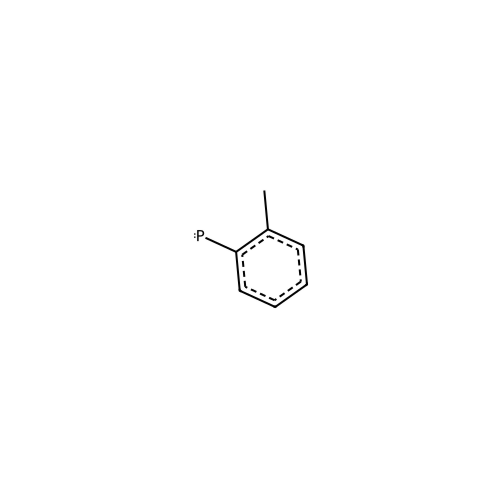 Cc1ccccc1[P]